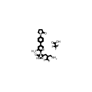 Cc1cc(-c2ccc(N3CCCC3=O)cc2)cnc1-n1c(CC(CN)=C(F)F)n[nH]c1=O.O=C(O)C(F)(F)F